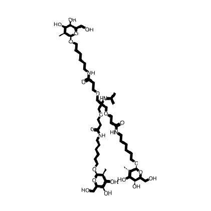 CC(C)NC(COCCC(=O)NCCCCCCO[C@@H]1OC(CO)[C@H](O)C(O)[C@@H]1C)(COCCC(=O)NCCCCCCO[C@@H]1OC(CO)[C@H](O)C(O)[C@@H]1C)COCCC(=O)NCCCCCCO[C@@H]1OC(CO)[C@H](O)C(O)[C@@H]1C